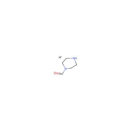 O=CN1CCNCC1.[H+]